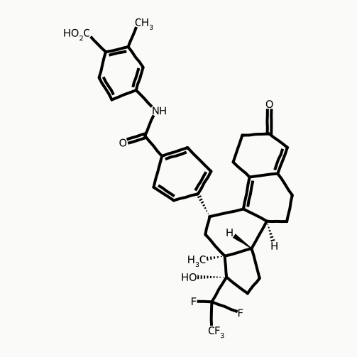 Cc1cc(NC(=O)c2ccc([C@H]3C[C@@]4(C)[C@@H](CC[C@@]4(O)C(F)(F)C(F)(F)F)[C@@H]4CCC5=CC(=O)CCC5=C43)cc2)ccc1C(=O)O